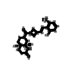 O=C1CO[C@H]2CCN(C(=O)N3CC(/C=C/c4c(F)cccc4C(F)(F)F)C3)C[C@H]2N1